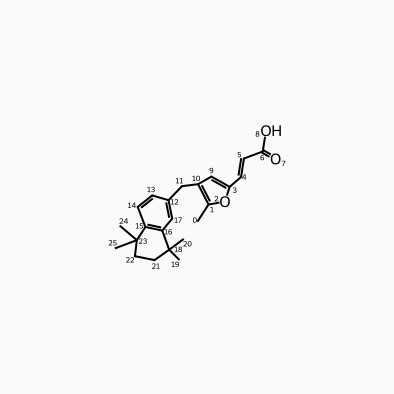 Cc1oc(/C=C/C(=O)O)cc1Cc1ccc2c(c1)C(C)(C)CCC2(C)C